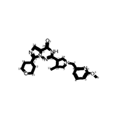 COc1cccc(CN2CC(C)C(c3nn4c(C5CCOCC5)ncc4c(=O)[nH]3)C2)n1